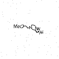 COCCN1CCn2nc(C(C)=O)cc2C1